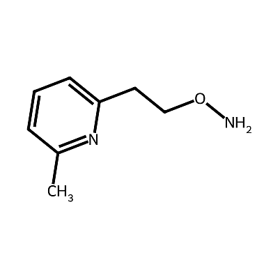 Cc1cccc(CCON)n1